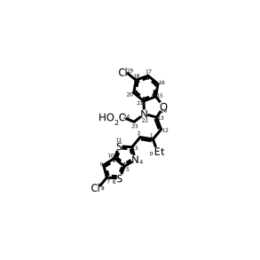 CCC(=Cc1nc2sc(Cl)cc2s1)C=C1Oc2ccc(Cl)cc2N1CC(=O)O